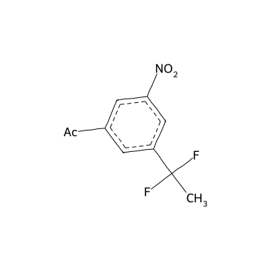 CC(=O)c1cc([N+](=O)[O-])cc(C(C)(F)F)c1